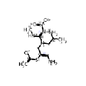 C=C(Cl)S/C(=C\N)CN(CC(C)N)/C(=N/[N+](=O)[O-])NC